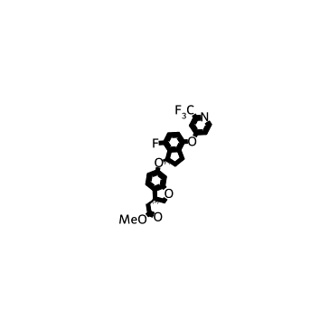 COC(=O)C[C@@H]1COc2cc(O[C@@H]3CCc4c(Oc5ccnc(C(F)(F)F)c5)ccc(F)c43)ccc21